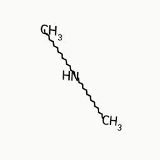 CCCCCCCCCCCCCCCNCCCCCCCCCCCCCCC